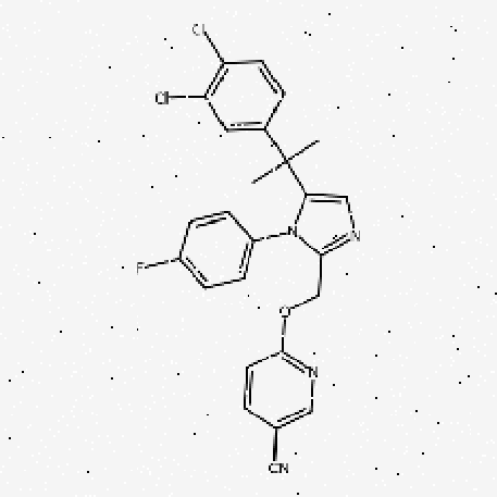 CC(C)(c1ccc(Cl)c(Cl)c1)c1cnc(COc2ccc(C#N)cn2)n1-c1ccc(F)cc1